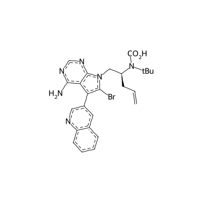 C=CC[C@@H](Cn1c(Br)c(-c2cnc3ccccc3c2)c2c(N)ncnc21)N(C(=O)O)C(C)(C)C